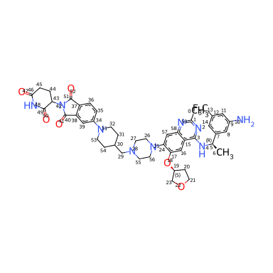 Cc1nc(N[C@H](C)c2cc(N)cc(C(F)(F)F)c2)c2cc(O[C@H]3CCOC3)c(N3CCN(CC4CCN(c5ccc6c(c5)C(=O)N(C5CCC(=O)NC5=O)C6=O)CC4)CC3)cc2n1